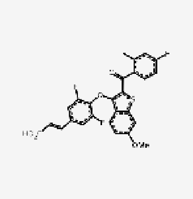 COc1ccc2c(Oc3c(F)cc(/C=C/C(=O)O)cc3F)c(C(=O)c3ccc(F)cc3C)sc2c1